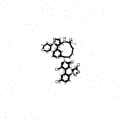 C[C@@H]1CCC[C@H](n2cc(Cl)c(-c3cc(Cl)ccc3-n3cc(Cl)nn3)cc2=O)c2cc(ccn2)-c2c(cnn2C2CCOCC2)NC1=O